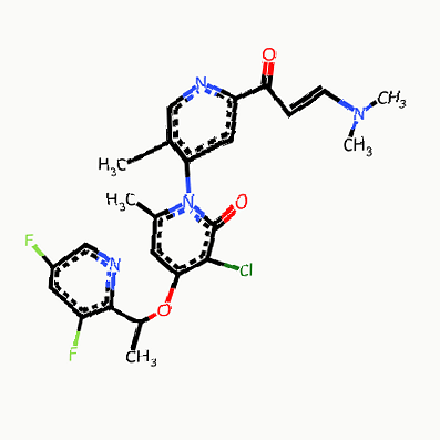 Cc1cnc(C(=O)C=CN(C)C)cc1-n1c(C)cc(OC(C)c2ncc(F)cc2F)c(Cl)c1=O